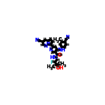 Cc1cc(Nc2cc(-c3ccc4cc(C#N)cnn34)ncc2C(=O)NC[C@@H](F)C(C)(C)O)ccc1C#N